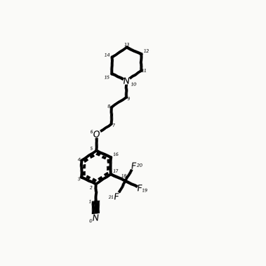 N#Cc1ccc(OCCCN2CCCCC2)cc1C(F)(F)F